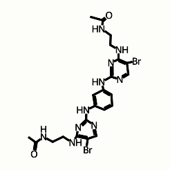 CC(=O)NCCNc1nc(Nc2cccc(Nc3ncc(Br)c(NCCNC(C)=O)n3)c2)ncc1Br